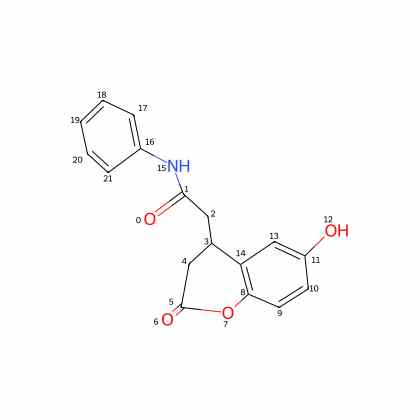 O=C(CC1CC(=O)Oc2ccc(O)cc21)Nc1ccccc1